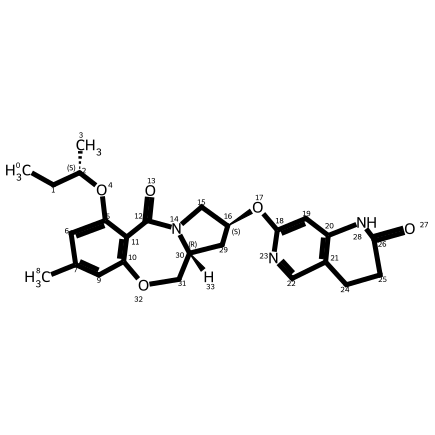 CC[C@H](C)Oc1cc(C)cc2c1C(=O)N1C[C@@H](Oc3cc4c(cn3)CCC(=O)N4)C[C@@H]1CO2